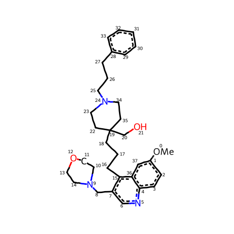 COc1ccc2ncc(CN3CCOCC3)c(CCCC3(CO)CCN(CCCc4ccccc4)CC3)c2c1